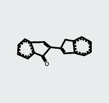 O=C1C(C2=Cc3ccccc3C2)=Cc2ccccc21